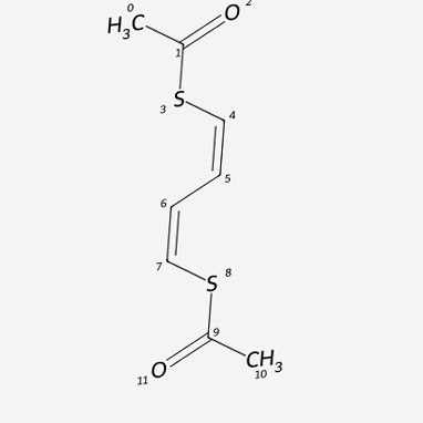 CC(=O)S/C=C\C=C/SC(C)=O